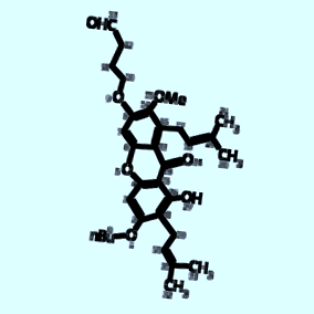 CCCCOc1cc2oc3cc(OCCCC=O)c(OC)c(CC=C(C)C)c3c(=O)c2c(O)c1CC=C(C)C